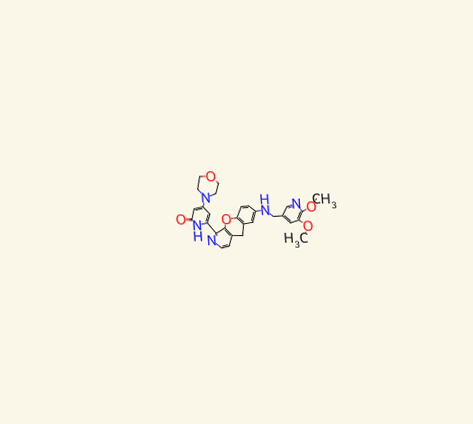 COc1cc(CNc2ccc3c(c2)Cc2ccnc(-c4cc(N5CCOCC5)cc(=O)[nH]4)c2O3)cnc1OC